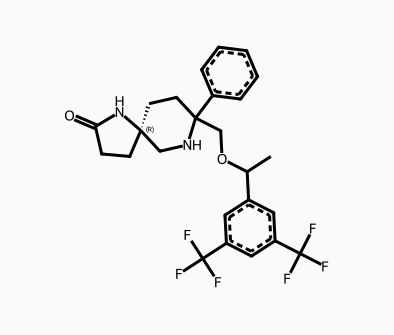 CC(OCC1(c2ccccc2)CC[C@@]2(CCC(=O)N2)CN1)c1cc(C(F)(F)F)cc(C(F)(F)F)c1